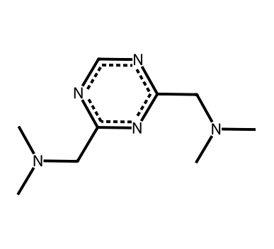 CN(C)Cc1ncnc(CN(C)C)n1